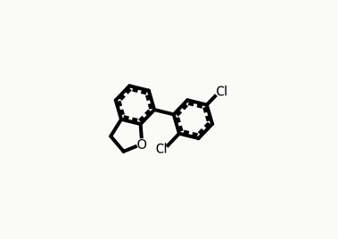 Clc1ccc(Cl)c(-c2cccc3c2OCC3)c1